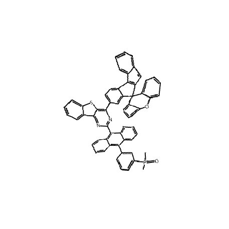 CP(C)(=O)c1cccc(-c2c3ccccc3c(-c3nc(-c4ccc5c(c4)C4(c6ccccc6Oc6ccccc64)c4ccc6ccccc6c4-5)c4sc5ccccc5c4n3)c3ccccc23)c1